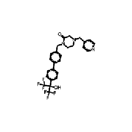 O=C1CN(Cc2ccncc2)CCN1Cc1ccc(-c2ccc(C(O)(C(F)(F)F)C(F)(F)F)cc2)cc1